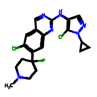 CN1CCC(F)(c2cc3nc(Nc4cnn(C5CC5)c4Cl)ncc3cc2Cl)CC1